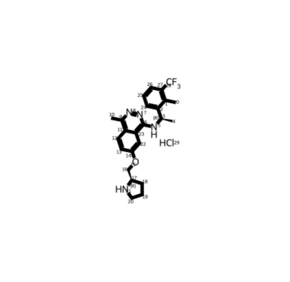 Cc1c([C@@H](C)Nc2nnc(C)c3ccc(OC[C@H]4CCCN4)cc23)cccc1C(F)(F)F.Cl